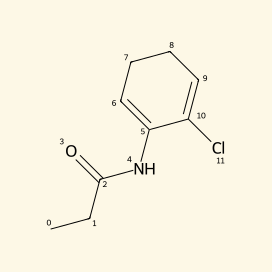 CCC(=O)NC1=CCCC=C1Cl